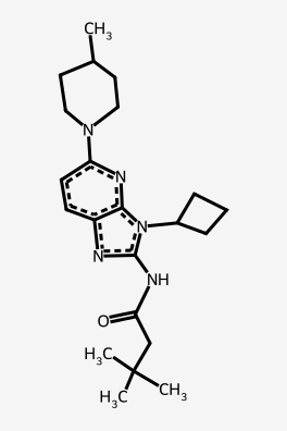 CC1CCN(c2ccc3nc(NC(=O)CC(C)(C)C)n(C4CCC4)c3n2)CC1